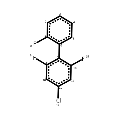 Fc1ccccc1-c1c(F)cc(Cl)cc1F